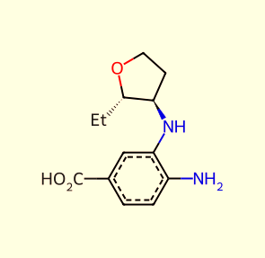 CC[C@@H]1OCC[C@H]1Nc1cc(C(=O)O)ccc1N